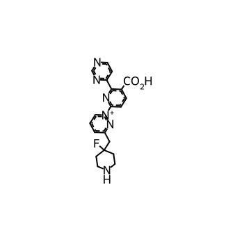 O=C(O)c1ccc(-[n+]2cccc(CC3(F)CCNCC3)n2)nc1-c1ccncn1